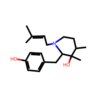 CC(C)=CCN1CCC(C)C(C)(O)C1Cc1ccc(O)cc1